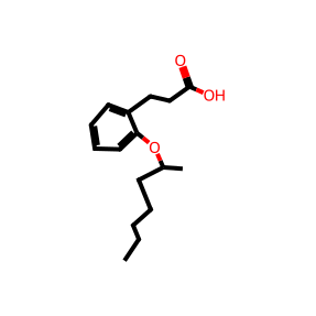 CCCCCC(C)Oc1ccccc1CCC(=O)O